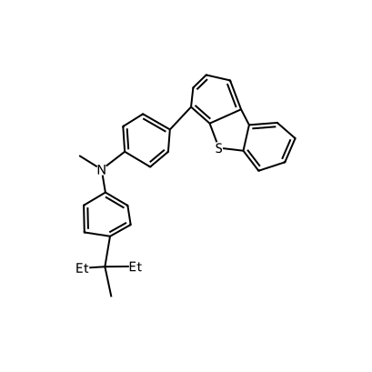 CCC(C)(CC)c1ccc(N(C)c2ccc(-c3cccc4c3sc3ccccc34)cc2)cc1